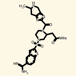 CNC(=O)CC1CN(S(=O)(=O)c2cc3cc(C(=N)N)ccc3s2)CCN1C(=O)c1nc2c(s1)CNC(C)C2